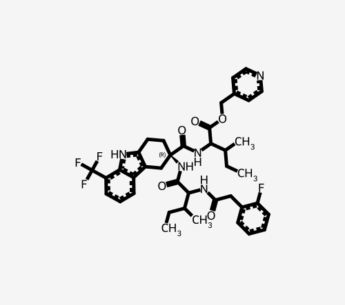 CCC(C)C(NC(=O)Cc1ccccc1F)C(=O)N[C@]1(C(=O)NC(C(=O)OCc2ccncc2)C(C)CC)CCc2[nH]c3c(C(F)(F)F)cccc3c2C1